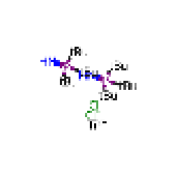 CC(C)(C)P(=N)(C(C)(C)C)C(C)(C)C.CC(C)(C)P(=N)(C(C)(C)C)C(C)(C)C.[Cl-].[Cl-].[Ti+2]